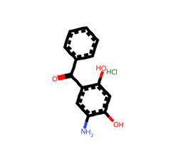 Cl.Nc1cc(C(=O)c2ccccc2)c(O)cc1O